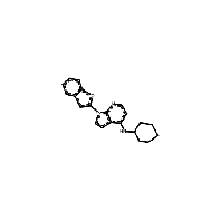 c1ccc2oc(-n3ccc4c(NC5CCCCC5)ccnc43)cc2c1